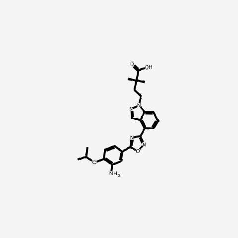 CC(C)Oc1ccc(-c2nc(-c3cccc4c3cnn4CCC(C)(C)C(=O)O)no2)cc1N